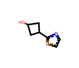 OC1CC(c2nccs2)C1